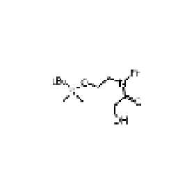 CCN(CCO[Si](C)(C)C(C)(C)C)C(=O)CO